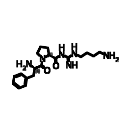 N=C(NCCCCN)NC(=O)[C@@H]1CCCN1C(=O)[C@H](N)Cc1ccccc1